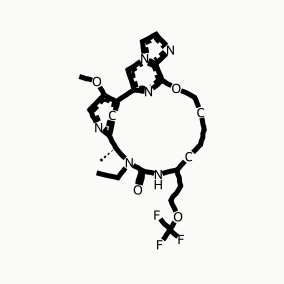 CCN1C(=O)NC(CCOC(F)(F)F)CCCCCOc2nc(cn3ccnc23)-c2cc(ncc2OC)[C@H]1C